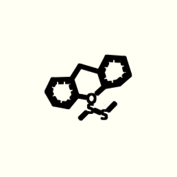 CSSC.c1ccc2c(c1)Cc1ccccc1O2